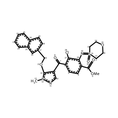 COC(=O)c1ccc(C(=O)c2cnn(C)c2OCc2ccc3ccccc3c2)c(Cl)c1N=S1(=O)CCOCC1